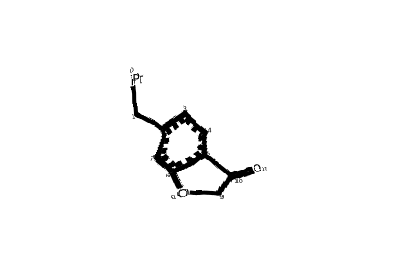 CC(C)Cc1ccc2c(c1)OCC2=O